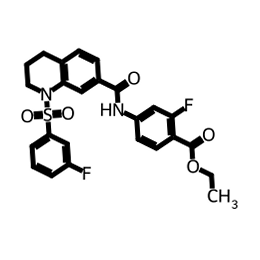 CCOC(=O)c1ccc(NC(=O)c2ccc3c(c2)N(S(=O)(=O)c2cccc(F)c2)CCC3)cc1F